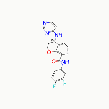 O=C(Nc1ccc(F)c(F)c1)c1cccc2c1OCC[C@@H]2Nc1ccncn1